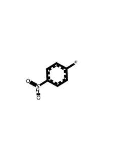 O=[SH](=O)c1c[c]c(F)cc1